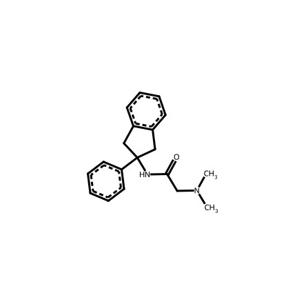 CN(C)CC(=O)NC1(c2ccccc2)Cc2ccccc2C1